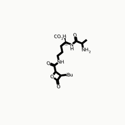 CCC(C)C1C(=O)OC1C(=O)NCCC[C@H](NC(=O)C(C)N)C(=O)O